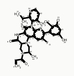 C=CC(=O)N1CC2C(=O)Nc3c(c4cc(F)c(-c5cc(O)cc(Cl)c5Cl)nc4n(-c4c(C)ccnc4C(C)C)c3=O)N2CC1C